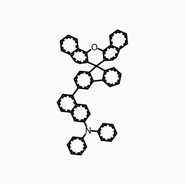 c1ccc(N(c2ccccc2)c2ccc3c(-c4ccc5c(c4)-c4ccccc4C54c5ccc6ccccc6c5Oc5c4ccc4ccccc54)cccc3c2)cc1